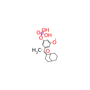 COc1cc(C=C2CCC3CCCC2(OC)C3)cc(OP(=O)(O)O)c1.[CH2]